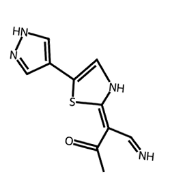 CC(=O)/C(C=N)=C1/NC=C(c2cn[nH]c2)S1